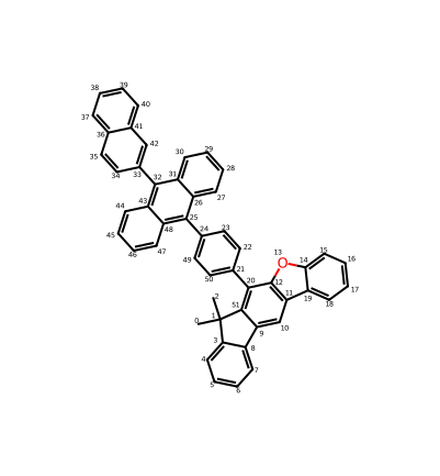 CC1(C)c2ccccc2-c2cc3c(oc4ccccc43)c(-c3ccc(-c4c5ccccc5c(-c5ccc6ccccc6c5)c5ccccc45)cc3)c21